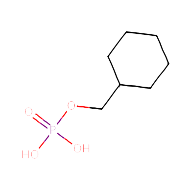 O=P(O)(O)OC[C]1CCCCC1